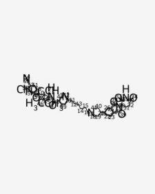 CC1(C)[C@H](NC(=O)c2ccc(CCCCCCN3CCC(c4ccc5c(c4)C(=O)N(C4CCC(=O)NC4=O)C5=O)CC3)nc2)C(C)(C)[C@H]1Oc1ccc(C#N)c(Cl)c1